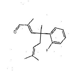 CC(C)=CCC(C)(/C=C(\C)C=O)c1ccccc1F